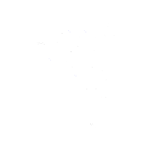 CNc1ncc(-c2nc3cc(OCCSC)ccc3o2)c2cc(NC(=O)C3CC3)ncc12